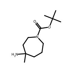 CC1(N)CCCN(C(=O)OC(C)(C)C)CC1